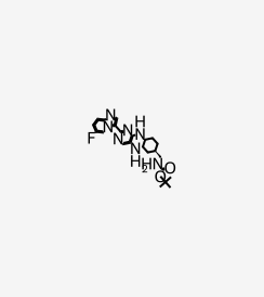 CC(C)(C)OC(=O)NC[C@H]1CC[C@H](Nc2nc(-c3cnc4ccc(F)cn34)ncc2N)CC1